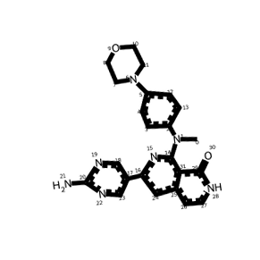 CN(c1ccc(N2CCOCC2)cc1)c1nc(-c2cnc(N)nc2)cc2cc[nH]c(=O)c12